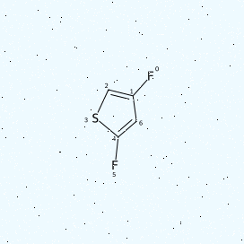 Fc1csc(F)c1